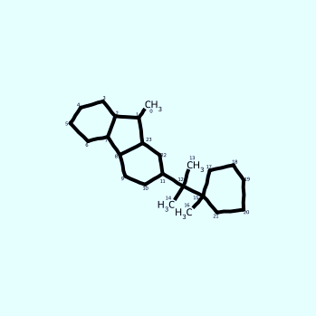 CC1C2CCCCC2C2CCC(C(C)(C)C3(C)CCCCC3)CC12